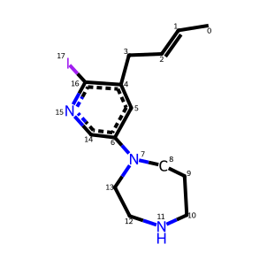 CC=CCc1cc(N2CCCNCC2)cnc1I